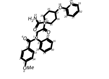 COc1ccc(C(=O)N(CC(=O)[N+]2(C(N)=O)CCC(Oc3ccccn3)CC2)c2ccccc2)cc1